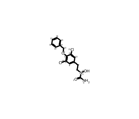 NC(=O)N(O)CCc1cc(Cl)c(OCc2ccccc2)c(Cl)c1